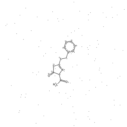 CC(=O)C1N=C(SCc2ccccc2)SC1=O